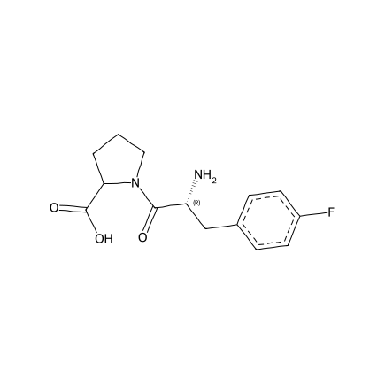 N[C@H](Cc1ccc(F)cc1)C(=O)N1CCCC1C(=O)O